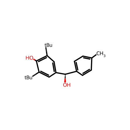 Cc1ccc([C@@H](O)c2cc(C(C)(C)C)c(O)c(C(C)(C)C)c2)cc1